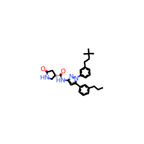 CCCc1cccc(-c2cc(NC(=O)[C@@H]3CNC(=O)C3)nn2-c2cccc(CCC(C)(C)C)c2)c1